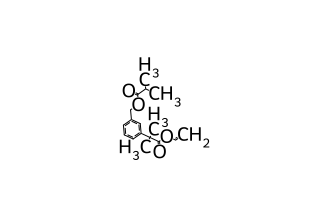 C=COC(=O)C(C)(C)c1cccc(COC(=O)C(C)C)c1